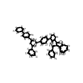 c1ccc(-c2ccc(-c3cc(-c4ccccc4)nc(-c4ccc(-c5cccc6c5nc(-c5ccccc5)c5c7ccccc7oc65)cc4)n3)cc2)cc1